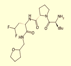 CC(C)(C)[C@H](N)C(=O)N1CCC[C@H]1C(=O)N[C@@H](CC(F)F)C(=O)NCC1CCCO1